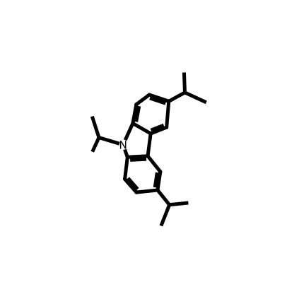 CC(C)c1ccc2c(c1)c1cc(C(C)C)ccc1n2C(C)C